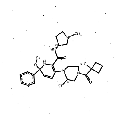 CCOC1(c2cccnc2)C=CC(N2CCN(C(=O)C3(C(F)(F)F)CCC3)C[C@H]2CC)=C(C(=O)N[C@H]2CCN(C)C2)N1